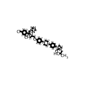 C[C@H](O)Cn1ncn(-c2ccc(N3CCN(c4ccc(OCC5COC(Cn6cncn6)(c6ccc(Cl)cc6Cl)O5)cc4)CC3)cc2)c1=O